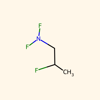 CC(F)CN(F)F